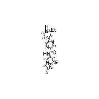 CC[C@H]1CN(c2cnc(C(=O)Nc3cc(F)c4nc(C)cn4c3)cn2)CCN1